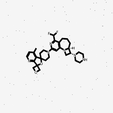 Cc1ccnc2c1C1(CCN(c3cc4c(c(C(F)F)n3)CCC[C@H]3[C@H](N5CCNCC5)CN43)CC1)OC21COC1